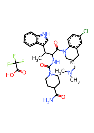 CC(c1c[nH]c2ccccc12)C(NC(=O)N1CCC(C(N)=O)CC1)C(=O)N1C[C@@H](CN(C)C)Cc2cc(Cl)ccc21.O=C(O)C(F)(F)F